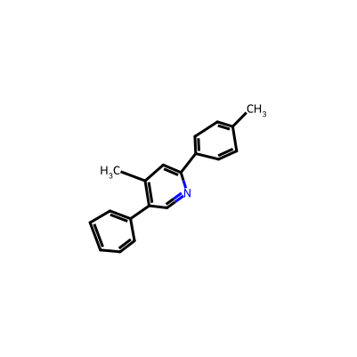 Cc1ccc(-c2cc(C)c(-c3ccccc3)cn2)cc1